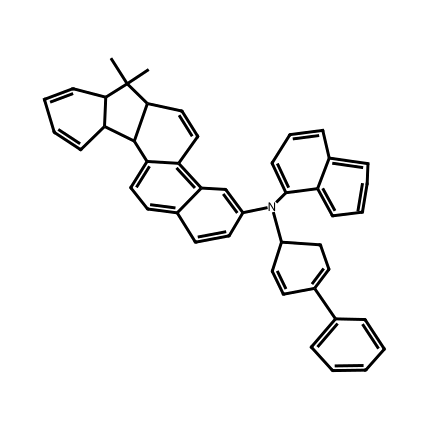 CC1(C)C2C=CC=CC2C2c3ccc4ccc(N(c5cccc6ccccc56)C5C=CC(c6ccccc6)=CC5)cc4c3C=CC21